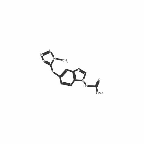 COC(=O)Nn1cnc2cc(Sc3nnnn3C)ccc21